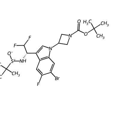 CC(C)(C)OC(=O)N1CC(n2cc([C@H](N[S+]([O-])C(C)(C)C)C(F)F)c3cc(F)c(Br)cc32)C1